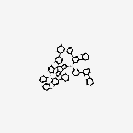 Clc1ccc(-c2ccc3c(c2)Sc2ccc(N(c4ccccc4)c4cc(-c5ccccc5)cc5oc6ccccc6c45)cc2C32c3ccccc3-c3cc(N(c4cccc(-c5cccc6c5oc5ccccc56)c4)c4cc(-c5ccccc5)c5oc6ccccc6c5c4)ccc32)cc1